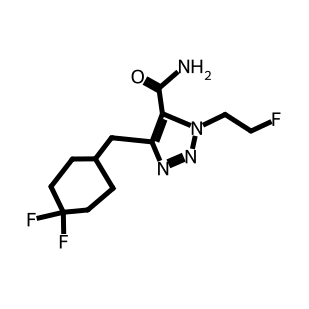 NC(=O)c1c(CC2CCC(F)(F)CC2)nnn1CCF